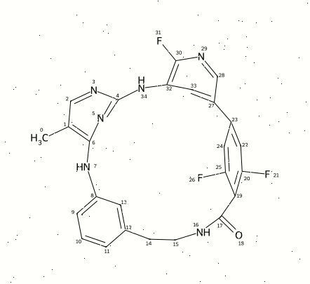 Cc1cnc2nc1Nc1cccc(c1)CCNC(=O)c1c(F)cc(cc1F)-c1cnc(F)c(c1)N2